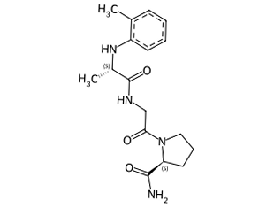 Cc1ccccc1N[C@@H](C)C(=O)NCC(=O)N1CCC[C@H]1C(N)=O